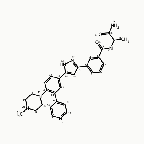 CC(NC(=O)c1cccc(-c2cc(-c3ccc(N4CCN(C)CC4)c(-c4ccncc4)c3)[nH]n2)c1)C(N)=O